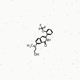 CN(CCO)c1ccc2cc(-c3ccccc3OC(F)(F)F)[nH]c(=O)c2c1